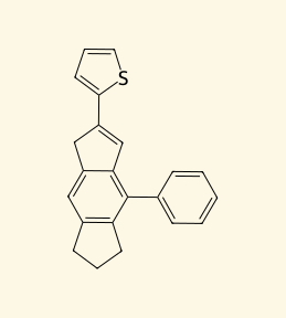 C1=C(c2cccs2)Cc2cc3c(c(-c4ccccc4)c21)CCC3